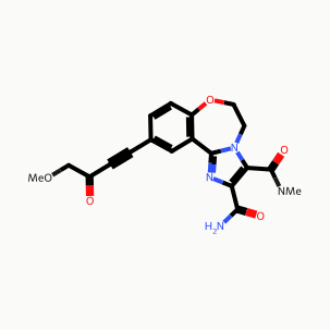 CNC(=O)c1c(C(N)=O)nc2n1CCOc1ccc(C#CC(=O)COC)cc1-2